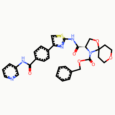 O=C(Nc1cccnc1)c1ccc(-c2csc(NC(=O)[C@@H]3COC4(CCOCC4)N3C(=O)OCc3ccccc3)n2)cc1